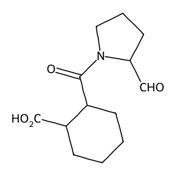 O=CC1CCCN1C(=O)C1CCCCC1C(=O)O